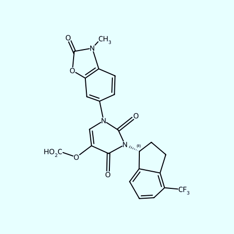 Cn1c(=O)oc2cc(-n3cc(OC(=O)O)c(=O)n([C@@H]4CCc5c4cccc5C(F)(F)F)c3=O)ccc21